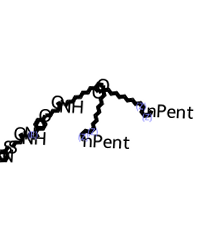 CCCCC/C=C\C/C=C\CCCCCCCCC1(CCCCCCCC/C=C\C/C=C\CCCCC)OCC(CCCCCCCNC(=O)CCCOc2ccc(/C(C)=N/NC(=O)CCSSc3ccccn3)cc2)O1